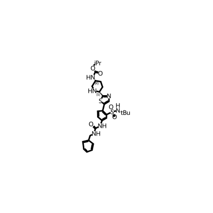 CC(C)OC(=O)N[C@@H]1CC[C@@H](c2ncc(-c3ccc(NC(=O)NCc4ccccc4)cc3S(=O)(=O)NC(C)(C)C)s2)NC1